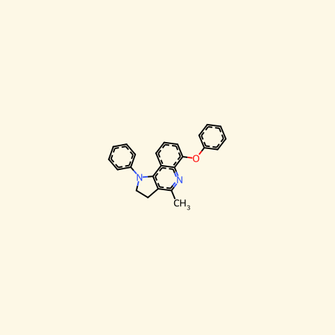 Cc1nc2c(Oc3ccccc3)cccc2c2c1CCN2c1ccccc1